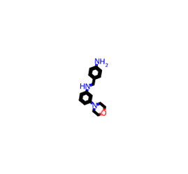 Nc1ccc(CNc2cccc(N3CCOCC3)c2)cc1